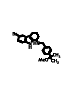 COC(C)(C)c1ccc(CNC2CCCc3c2[nH]c2ccc(Br)cc32)cc1